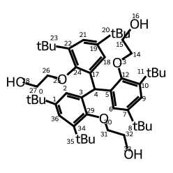 CC(C)(C)c1cc(C(c2cc(C(C)(C)C)cc(C(C)(C)C)c2OCCO)c2cc(C(C)(C)C)cc(C(C)(C)C)c2OCCO)c(OCCO)c(C(C)(C)C)c1